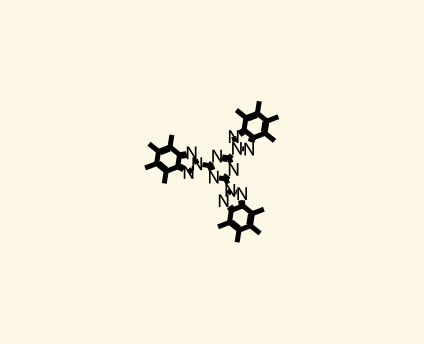 Cc1c(C)c(C)c2nn(-c3nc(-n4nc5c(C)c(C)c(C)c(C)c5n4)nc(-n4nc5c(C)c(C)c(C)c(C)c5n4)n3)nc2c1C